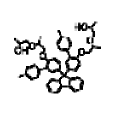 Cc1ccc(-c2cc(C3(c4ccc(OCC(C)OCC(C)O)c(-c5ccc(C)cc5)c4)c4ccccc4-c4ccccc43)ccc2OCC(C)OCC(C)O)cc1